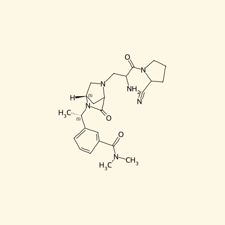 C[C@@H](c1cccc(C(=O)N(C)C)c1)N1C(=O)C2C[C@H]1CN2CC(N)C(=O)N1CCCC1C#N